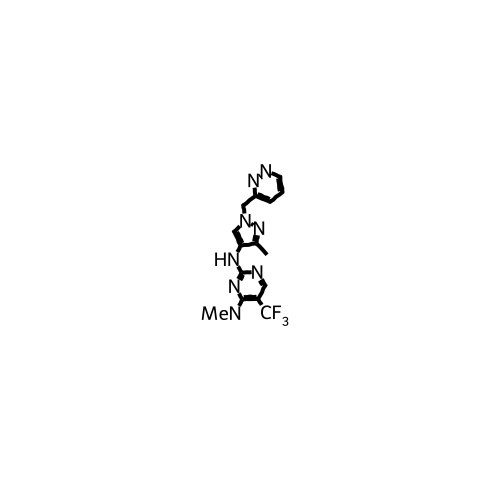 CNc1nc(Nc2cn(Cc3cccnn3)nc2C)ncc1C(F)(F)F